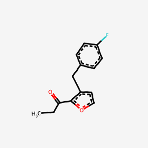 CCC(=O)c1occc1Cc1ccc(F)cc1